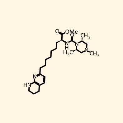 COC(=O)[C@H](CCCCCCCc1ccc2c(n1)NCCC2)NC(=O)N1[C@H](C)CN(C)C[C@@H]1C